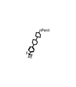 CCCCCC1CCC(C2CCC(c3ccc(C(F)(F)C(C)=O)cc3)CC2)CC1